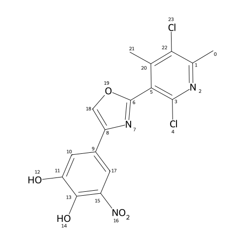 Cc1nc(Cl)c(-c2nc(-c3cc(O)c(O)c([N+](=O)[O-])c3)co2)c(C)c1Cl